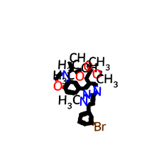 C=CCN1CCOc2cc(C)c(-c3c([C@H](OC(C)(C)C)C(=O)OC)c(C)nc4cc(-c5cccc(Br)c5)nn34)cc21